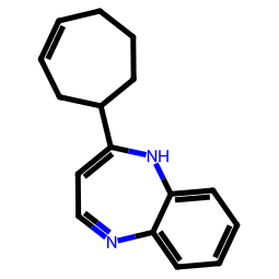 C1=CCC(C2=CC=Nc3ccccc3N2)CCC1